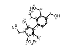 CCOC(=O)c1c(Br)c(-c2ccc(CO)c(CO)c2CO)c(Br)n1CC#N